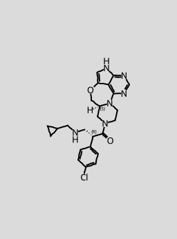 O=C([C@@H](CNCC1CC1)c1ccc(Cl)cc1)N1CCN2c3ncnc4[nH]cc(c34)OC[C@@H]2C1